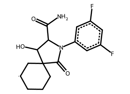 NC(=O)C1C(O)C2(C[CH]CCC2)C(=O)N1c1cc(F)cc(F)c1